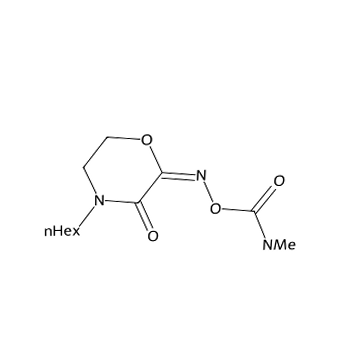 CCCCCCN1CCOC(=NOC(=O)NC)C1=O